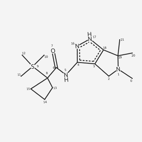 CN1Cc2c(NC(=O)C3(S(C)(C)C)CCC3)n[nH]c2C1(C)C